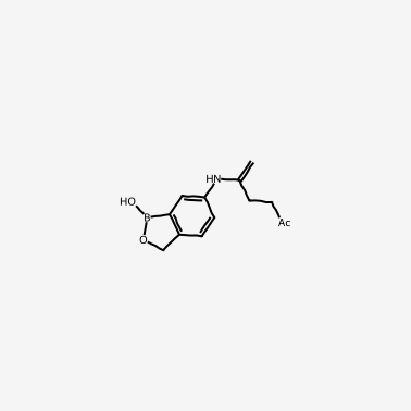 C=C(CCC(C)=O)Nc1ccc2c(c1)B(O)OC2